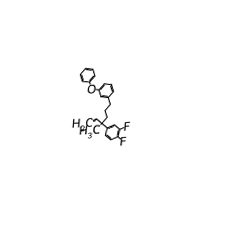 C=CC(C)(CCCc1cccc(Oc2ccccc2)c1)c1ccc(F)c(F)c1